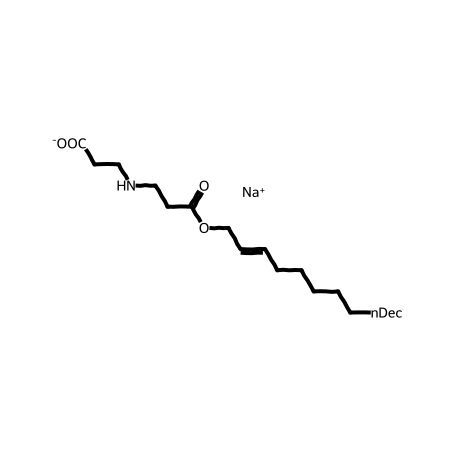 CCCCCCCCCCCCCCCC=CCOC(=O)CCNCCC(=O)[O-].[Na+]